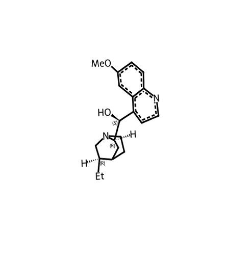 CC[C@H]1CN2CCC1C[C@@H]2[C@@H](O)c1ccnc2ccc(OC)cc12